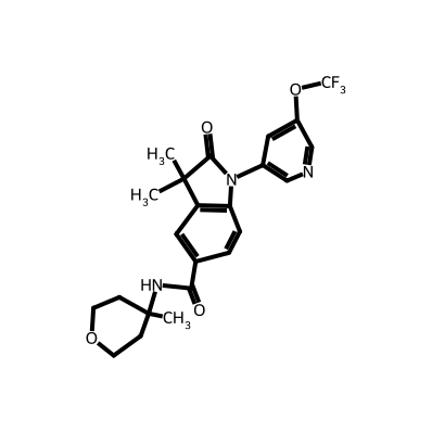 CC1(NC(=O)c2ccc3c(c2)C(C)(C)C(=O)N3c2cncc(OC(F)(F)F)c2)CCOCC1